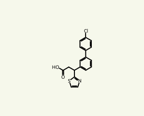 O=C(O)CC(c1cccc(-c2ccc(Cl)cc2)c1)c1nccs1